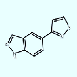 c1cc(-c2ccc3[nH]ncc3c2)ns1